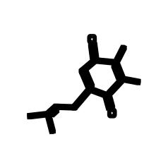 CC(C)=CCC1=CC(=O)C(C)=C(C)C1=O